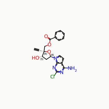 C#C[C@]1(COC(=O)c2ccccc2)O[C@@H](n2ccc3c(N)nc(Cl)nc32)C[C@@H]1O